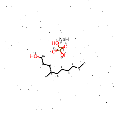 CCCCCCC(C)CCCO.O=S(=O)(O)O.[NaH]